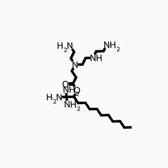 CCCCCCCCCCC(OC(=O)CCN(CCN)CCNCCN)C(N)(N)N